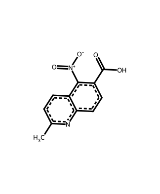 Cc1ccc2c([N+](=O)[O-])c(C(=O)O)ccc2n1